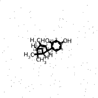 CC1=C[C@@H](c2ccc(O)cc2O)[C@H]2C[C@@H]1C2(C)C